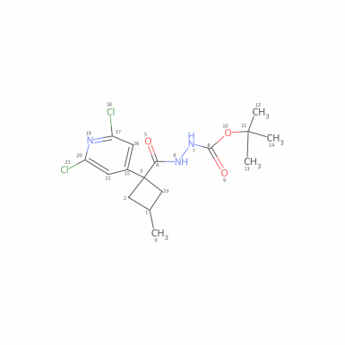 CC1CC(C(=O)NNC(=O)OC(C)(C)C)(c2cc(Cl)nc(Cl)c2)C1